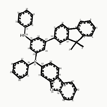 CC1(C)c2ccccc2-c2ccc(-c3cc(Nc4ccccc4)cc(N(c4ccccc4)c4ccc5c(c4)oc4ccccc45)c3)cc21